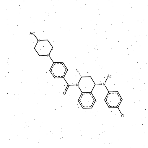 CC(=O)N1CCN(c2ccc(C(=O)N3c4ccccc4[C@@H](N(C(C)=O)c4ccc(Cl)cc4)C[C@H]3C)cc2)CC1